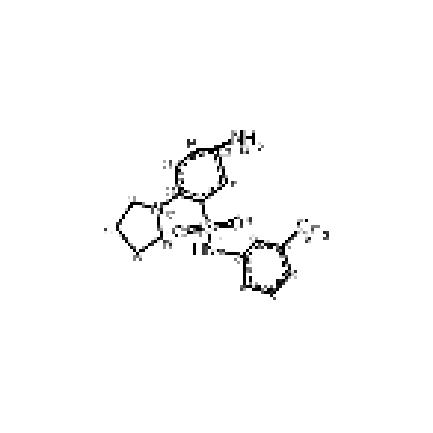 Cc1cccc(NS(=O)(=O)c2cc(N)ccc2N2CCCC2)c1